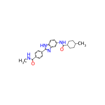 CNC(=O)c1ccc(-c2nc3cc(NC(=O)C4CCC(C)CC4)ccc3[nH]2)cc1